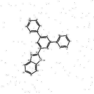 c1cncc(-c2cc(-c3ccncc3)cc(-c3nc4ccccc4o3)c2)c1